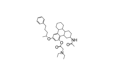 CCN(CC)CC(=O)Oc1cc(OC(C)CCCc2ccccc2)cc2c1C1CC(NC(C)=O)CCC1C1CCCCC21